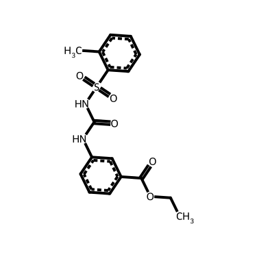 CCOC(=O)c1cccc(NC(=O)NS(=O)(=O)c2ccccc2C)c1